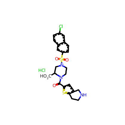 Cl.O=C(O)C1CN(S(=O)(=O)c2ccc3cc(Cl)ccc3c2)CCN1C(=O)c1cc2c(s1)CCNC2